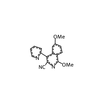 COc1ccc2c(OC)nc(C#N)c(-c3ccccn3)c2c1